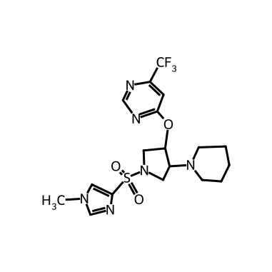 Cn1cnc(S(=O)(=O)N2CC(Oc3cc(C(F)(F)F)ncn3)C(N3CCCCC3)C2)c1